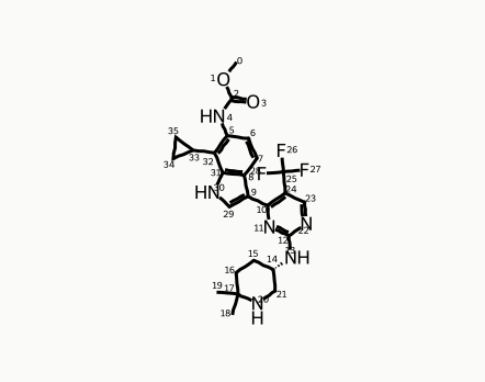 COC(=O)Nc1ccc2c(-c3nc(N[C@H]4CCC(C)(C)NC4)ncc3C(F)(F)F)c[nH]c2c1C1CC1